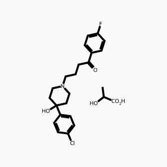 CC(O)C(=O)O.O=C(CCCN1CCC(O)(c2ccc(Cl)cc2)CC1)c1ccc(F)cc1